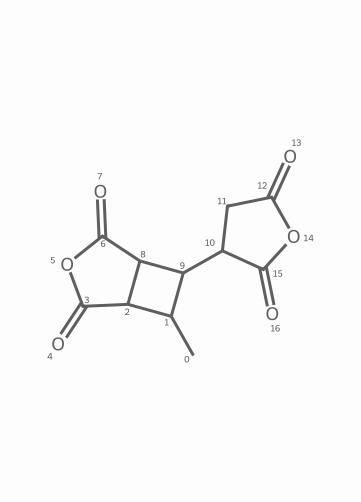 CC1C2C(=O)OC(=O)C2C1C1CC(=O)OC1=O